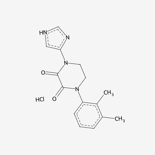 Cc1cccc(N2CCN(c3c[nH]cn3)C(=O)C2=O)c1C.Cl